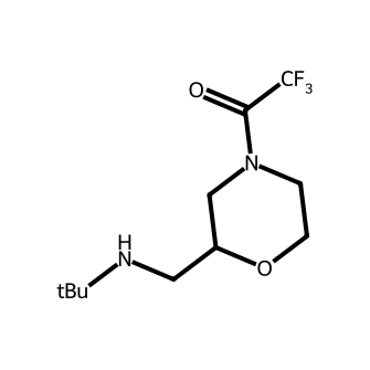 CC(C)(C)NCC1CN(C(=O)C(F)(F)F)CCO1